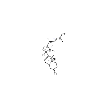 CC(C)[C@@H](C)/C=C/[C@@H](C)[C@H]1CC[C@H]2C3=CCC4CC(=O)CC[C@]4(C)[C@H]3CC[C@]12C